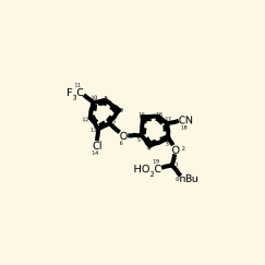 CCCCC(Oc1cc(Oc2ccc(C(F)(F)F)cc2Cl)ccc1C#N)C(=O)O